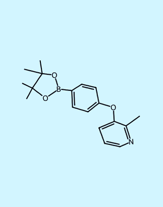 Cc1ncccc1Oc1ccc(B2OC(C)(C)C(C)(C)O2)cc1